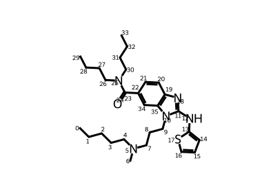 CCCCCN(C)CCCn1c(Nc2cccs2)nc2ccc(C(=O)N(CCCC)CCCC)cc21